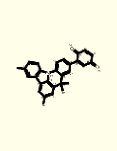 Cc1ccc2c(c1)c1cc(C)cc3c1n2-c1ccc(C2=CC(=O)C=CC2=O)cc1C3(C)C